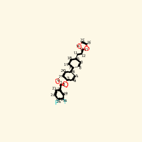 O=C(O[C@H]1CC[C@H]([C@H]2CC[C@H](CCC3OCCO3)CC2)CC1)c1ccc(F)c(F)c1